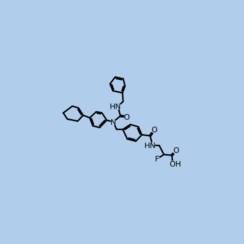 O=C(NCC(F)C(=O)O)c1ccc(CN(C(=O)NCc2ccccc2)c2ccc(C3=CCCCC3)cc2)cc1